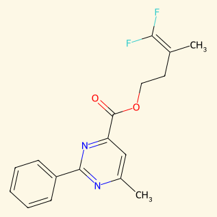 CC(CCOC(=O)c1cc(C)nc(-c2ccccc2)n1)=C(F)F